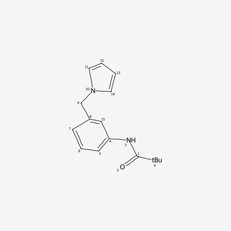 CC(C)(C)C(=O)Nc1cccc(Cn2cccc2)c1